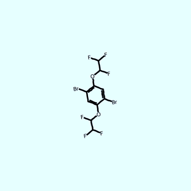 FC(F)C(F)Oc1cc(Br)c(OC(F)C(F)F)cc1Br